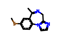 CSc1ccc2c(c1)C(C)=NCc1nccn1-2